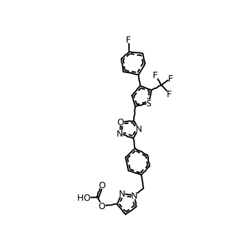 O=C(O)Oc1ccn(Cc2ccc(-c3noc(-c4cc(-c5ccc(F)cc5)c(C(F)(F)F)s4)n3)cc2)n1